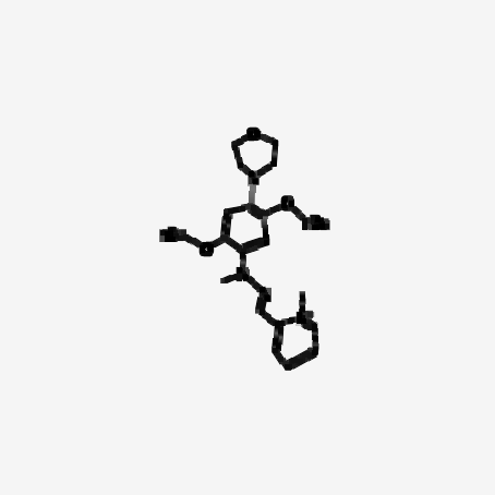 CCCCOc1cc(N(C)N=Cc2cccc[n+]2C)c(OCCCC)cc1N1CCOCC1